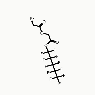 O=C(CBr)OCC(=O)OC(F)(F)C(F)(F)C(F)(F)C(F)(F)C(F)(F)F